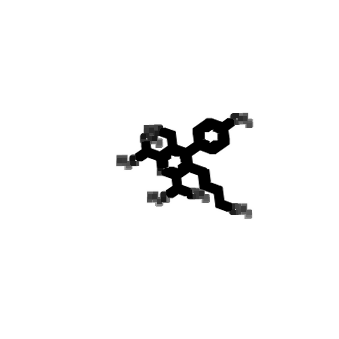 CCCC=Cc1c(C(C)C)nc(C(C)C)c(CO)c1-c1ccc(C)cc1